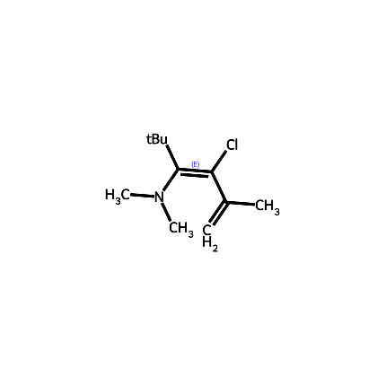 C=C(C)/C(Cl)=C(\N(C)C)C(C)(C)C